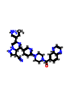 C=C/C(=C\N)C1=CN2N=CC(C#N)C2C(c2ccc(N3CCN(C(=O)c4ccc5nccnc5c4)CC3)nc2)=N1